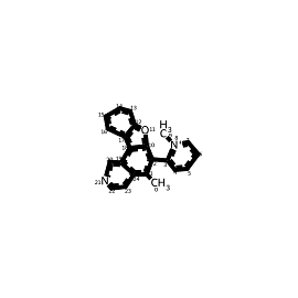 Cc1c(-c2cccc[n+]2C)c2oc3ccccc3c2c2cnccc12